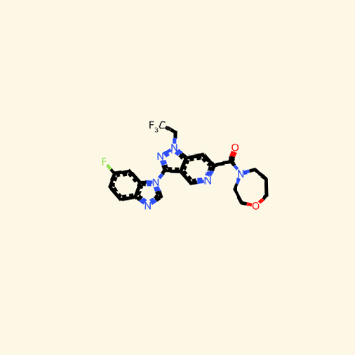 O=C(c1cc2c(cn1)c(-n1cnc3ccc(F)cc31)nn2CC(F)(F)F)N1CCCOCC1